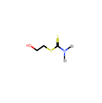 CCN(CC)C(=S)SCCO